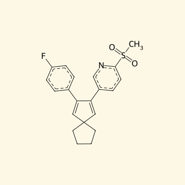 CS(=O)(=O)c1ccc(C2=CC3(C=C2c2ccc(F)cc2)CCCC3)cn1